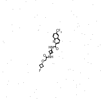 O=C(CO[C@H]1C[C@@H](F)C1)NC12CC(NC(=O)c3ccc4cc(C(F)(F)F)ccc4n3)(C1)C2